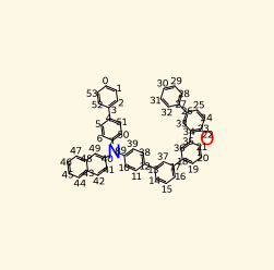 c1ccc(-c2ccc(N(c3ccc(-c4cccc(-c5ccc6oc7ccc(-c8ccccc8)cc7c6c5)c4)cc3)c3ccc4ccccc4c3)cc2)cc1